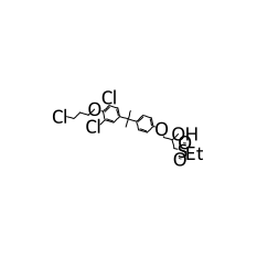 CCS(=O)(=O)CC(O)COc1ccc(C(C)(C)c2cc(Cl)c(OCCCCl)c(Cl)c2)cc1